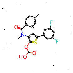 Cc1ccc(C(=O)N(C)c2cc(-c3cc(F)cc(F)c3)sc2OC(=O)O)cc1